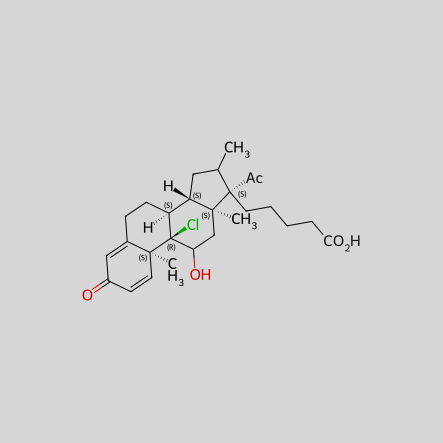 CC(=O)[C@@]1(CCCCC(=O)O)C(C)C[C@H]2[C@@H]3CCC4=CC(=O)C=C[C@]4(C)[C@@]3(Cl)C(O)C[C@@]21C